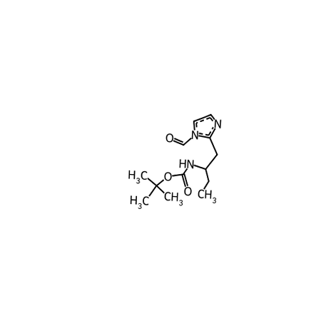 CCC(Cc1nccn1C=O)NC(=O)OC(C)(C)C